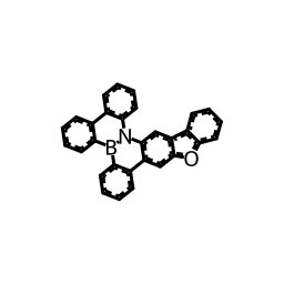 c1ccc2c(c1)B1c3ccccc3-c3cc4oc5ccccc5c4cc3N1c1ccccc1-2